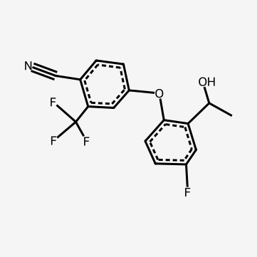 CC(O)c1cc(F)ccc1Oc1ccc(C#N)c(C(F)(F)F)c1